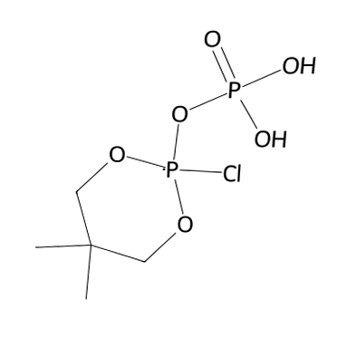 CC1(C)CO[P](Cl)(OP(=O)(O)O)OC1